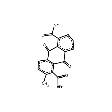 CCCC(=O)c1cccc2c1C(=O)c1ccc(N)c(C(=O)CCC)c1C2=O